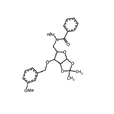 CCCCN(CC1OC2OC(C)(C)OC2C1OCc1cccc(OC)c1)C(=O)c1ccccc1